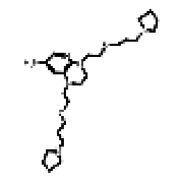 Nc1cnc2c(c1)N(CCOCCCN1CCCC1)CCN2CCOCCCN1CCCC1